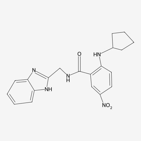 O=C(NCc1nc2ccccc2[nH]1)c1cc([N+](=O)[O-])ccc1NC1CCCC1